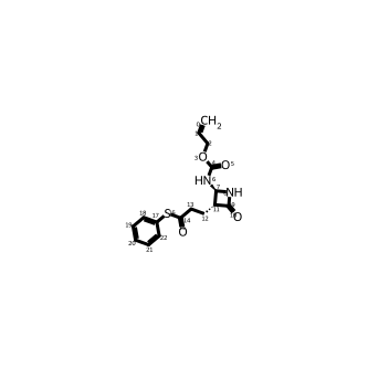 C=CCOC(=O)N[C@H]1NC(=O)[C@@H]1CCC(=O)Sc1ccccc1